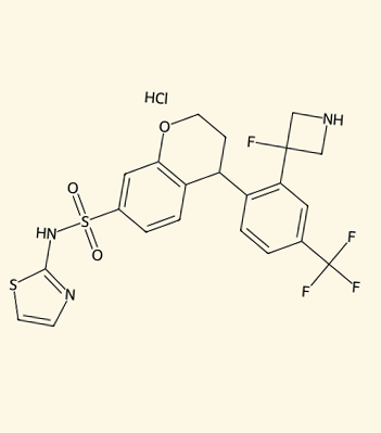 Cl.O=S(=O)(Nc1nccs1)c1ccc2c(c1)OCCC2c1ccc(C(F)(F)F)cc1C1(F)CNC1